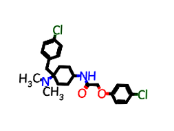 CN(C)C1(Cc2ccc(Cl)cc2)CCC(NC(=O)COc2ccc(Cl)cc2)CC1